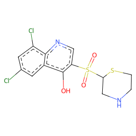 O=S(=O)(c1cnc2c(Cl)cc(Cl)cc2c1O)C1CNCCS1